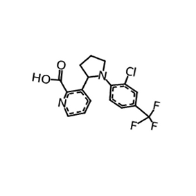 O=C(O)c1ncccc1C1CCCN1c1ccc(C(F)(F)F)cc1Cl